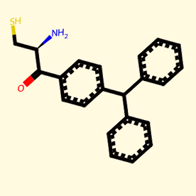 N[C@H](CS)C(=O)c1ccc([C](c2ccccc2)c2ccccc2)cc1